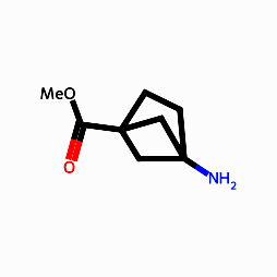 COC(=O)C12CCC(N)(C1)C2